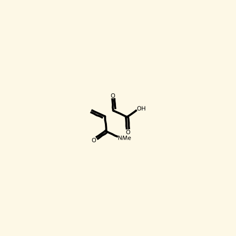 C=CC(=O)NC.O=CC(=O)O